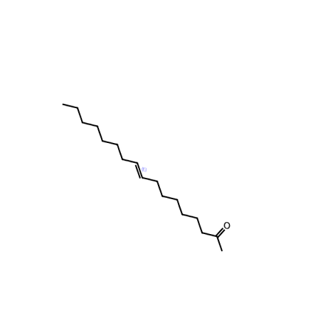 CCCCCCC/C=C/CCCCCCC(C)=O